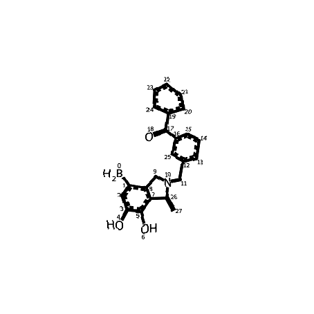 Bc1cc(O)c(O)c2c1CN(Cc1cccc(C(=O)c3ccccc3)c1)C2=C